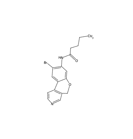 CCCCC(=O)Nc1cc2c(cc1Br)-c1ccncc1CO2